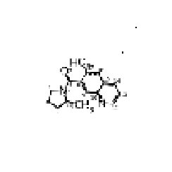 CC1CCCN1C(=O)c1cc2ncccc2cc1O